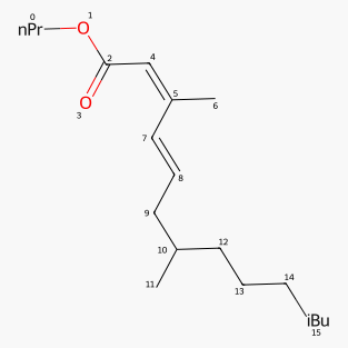 CCCOC(=O)C=C(C)C=CCC(C)CCCC(C)CC